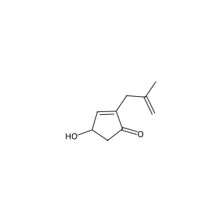 C=C(C)CC1=CC(O)CC1=O